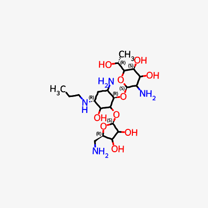 CCCN[C@@H]1CC(N)[C@@H](O[C@H]2OC([C@@H](C)O)[C@@H](O)C(O)C2N)C(O[C@@H]2O[C@H](CN)C(O)C2O)C1O